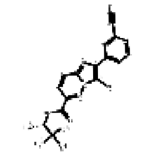 C[C@H](NC(=O)c1ccc2nc(-c3cccc(C#N)c3)c(Br)n2n1)C(C)(C)O